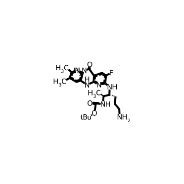 Cc1cc(Nc2nc(N[C@H](CCCN)[C@H](C)NC(=O)OC(C)(C)C)c(F)cc2C(N)=O)cnc1C